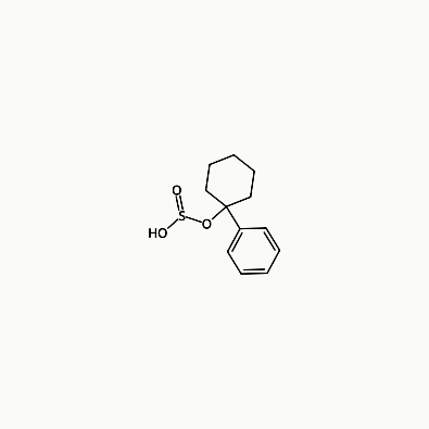 O=S(O)OC1(c2ccccc2)CCCCC1